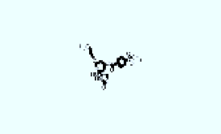 C=CCCC[C@@H]1C[C@@H](OC(=O)c2ccc(S(C)(=O)=O)cc2)C[C@](O)([C@@H]2CSC(=O)N2)O1